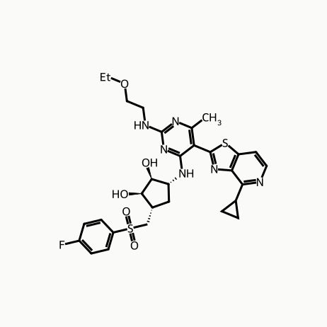 CCOCCNc1nc(C)c(-c2nc3c(C4CC4)nccc3s2)c(N[C@@H]2C[C@H](CS(=O)(=O)c3ccc(F)cc3)[C@@H](O)[C@H]2O)n1